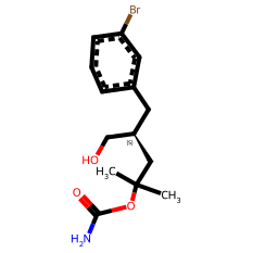 CC(C)(C[C@@H](CO)Cc1cccc(Br)c1)OC(N)=O